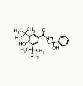 CC(C)(C)c1cc(C(=O)N2CC(O)(c3ccccc3)C2)cc(C(C)(C)C)c1O